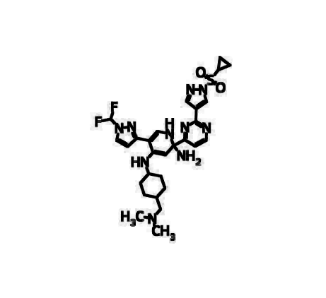 CN(C)CC1CCC(NC2=CC(N)(c3ccnc(-c4cnn(S(=O)(=O)C5CC5)c4)n3)NC=C2c2ccn(C(F)F)n2)CC1